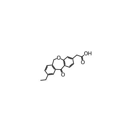 CCc1ccc2c(c1)C(=O)c1ccc(CC(=O)O)cc1OC2